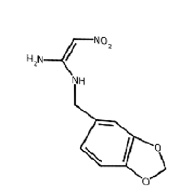 N/C(=C/[N+](=O)[O-])NCc1ccc2c(c1)OCO2